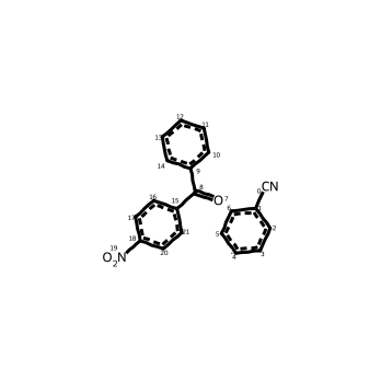 N#Cc1cc[c]cc1.O=C(c1ccccc1)c1ccc([N+](=O)[O-])cc1